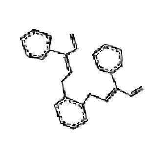 C=CC(=CCc1ccccc1CC=C(C=C)c1ccccc1)c1ccccc1